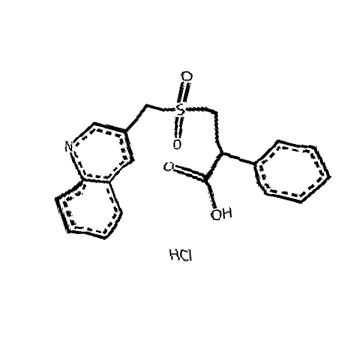 Cl.O=C(O)C(CS(=O)(=O)Cc1cnc2ccccc2c1)c1ccccc1